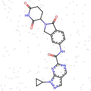 O=C1CCC(N2Cc3cc(NC(=O)c4ncc5cnn(C6CC6)c5n4)ccc3C2=O)C(=O)N1